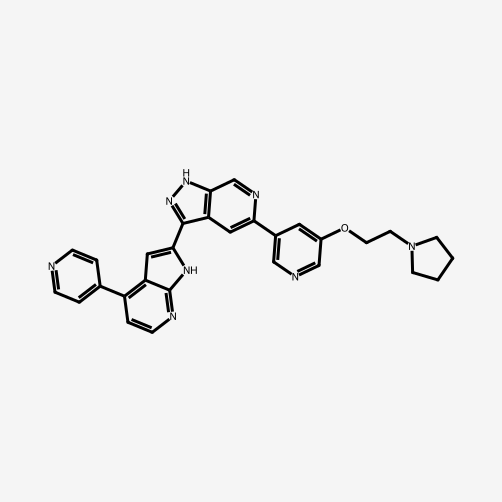 c1cc(-c2ccnc3[nH]c(-c4n[nH]c5cnc(-c6cncc(OCCN7CCCC7)c6)cc45)cc23)ccn1